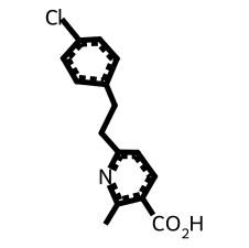 Cc1nc(CCc2ccc(Cl)cc2)ccc1C(=O)O